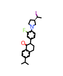 CC(C)c1ccc2c(c1)CCC(c1ccc(N3CC[C@@H](C(C)I)C3)c(F)c1)C2=O